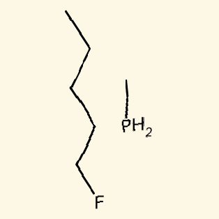 CCCCCF.CP